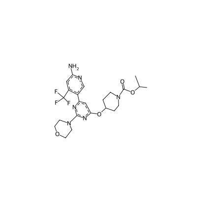 CC(C)OC(=O)N1CCC(Oc2cc(-c3cnc(N)cc3C(F)(F)F)nc(N3CCOCC3)n2)CC1